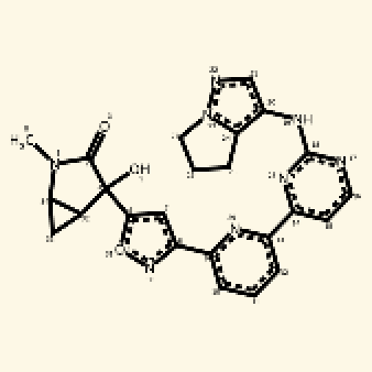 CN1C(=O)C(O)(c2cc(-c3cccc(-c4ccnc(Nc5cnn6c5CCC6)n4)n3)no2)C2CC21